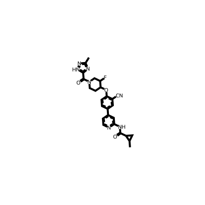 Cc1n[nH]c(C(=O)N2CCC(Oc3ccc(-c4ccnc(NC(=O)C5CC5C)c4)cc3C#N)C(F)C2)n1